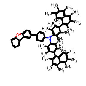 Bc1c(B)c(N(c2ccc(-c3ccc4oc5ccccc5c4c3)cc2)c2c(B)c(B)c(-c3c(B)c(B)c(B)c4c(B)c(B)c(B)c(B)c34)c(B)c2B)c(B)c(B)c1-c1c(B)c(B)c(B)c2c(B)c(B)c(B)c(B)c12